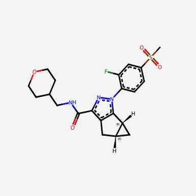 CS(=O)(=O)c1ccc(-n2nc(C(=O)NCC3CCOCC3)c3c2[C@@H]2C[C@@H]2C3)c(F)c1